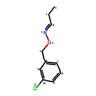 CCC=NOCc1cccc(Cl)c1